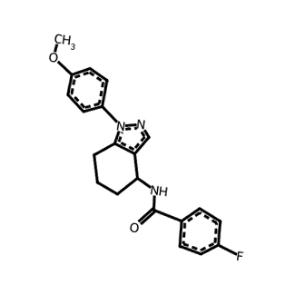 COc1ccc(-n2ncc3c2CCCC3NC(=O)c2ccc(F)cc2)cc1